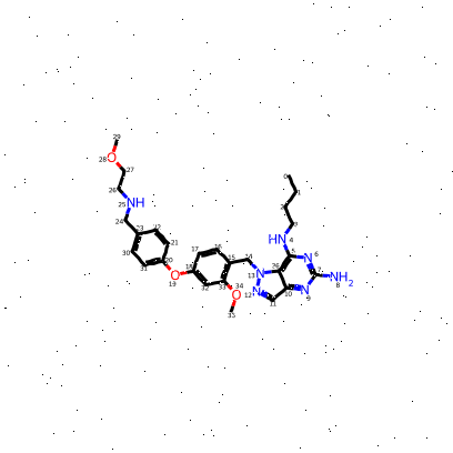 CCCCNc1nc(N)nc2cnn(Cc3ccc(Oc4ccc(CNCCOC)cc4)cc3OC)c12